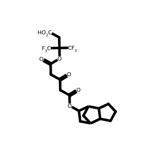 O=C(O)CC(OC(=O)CC(=O)CC(=O)OC1CC2CC1C1CCCC21)(C(F)(F)F)C(F)(F)F